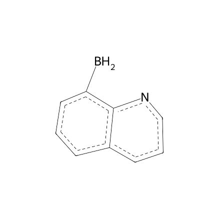 Bc1cccc2cccnc12